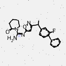 CC(c1ccc(-c2ccccc2)c(F)c1)c1cc(/N=C(/N)N2CCCCC2=O)on1